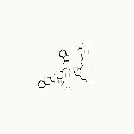 CSCC[C@H](NC(=O)[C@H](Cc1c[nH]c2ccccc12)NC[C@H](CCCCN)NC(=O)[C@@H](C)CCCNC(=N)N)C(=O)N[C@@H](Cc1ccccc1)C(N)=O